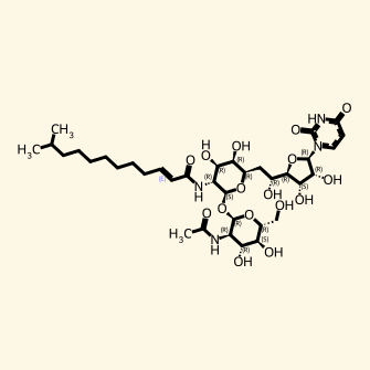 CC(=O)N[C@H]1[C@@H](O[C@@H]2O[C@H](C[C@@H](O)[C@H]3O[C@@H](n4ccc(=O)[nH]c4=O)[C@H](O)[C@@H]3O)[C@H](O)[C@H](O)[C@H]2NC(=O)/C=C/CCCCCCCC(C)C)O[C@H](CO)[C@@H](O)[C@@H]1O